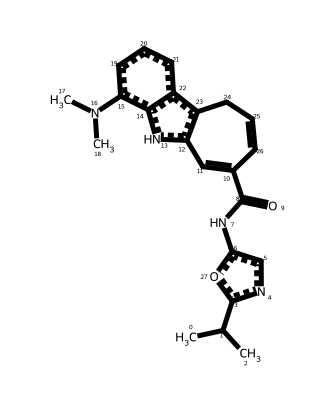 CC(C)c1ncc(NC(=O)C2=Cc3[nH]c4c(N(C)C)cccc4c3CC=C2)o1